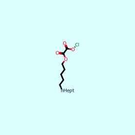 CCCCCCCCCCCCOC(=O)C(=O)OCl